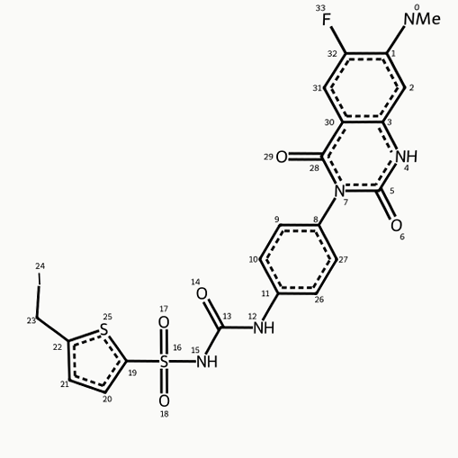 CNc1cc2[nH]c(=O)n(-c3ccc(NC(=O)NS(=O)(=O)c4ccc(CI)s4)cc3)c(=O)c2cc1F